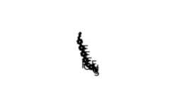 C=CCCc1ccc(-c2ccc(-c3ccc(-c4ccc(C(F)(F)Oc5ccc(N=C=S)c(F)c5)c(F)c4)c(F)c3)c(F)c2)cc1